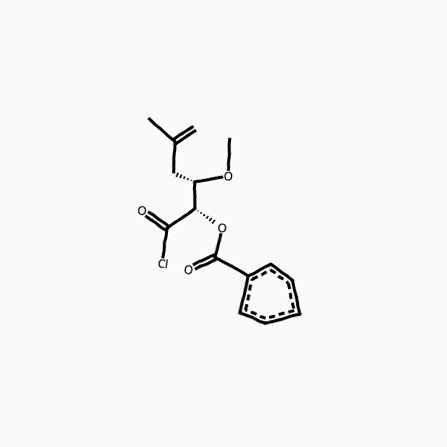 C=C(C)C[C@H](OC)[C@H](OC(=O)c1ccccc1)C(=O)Cl